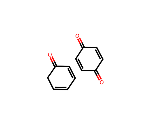 O=C1C=CC(=O)C=C1.O=C1C=CC=CC1